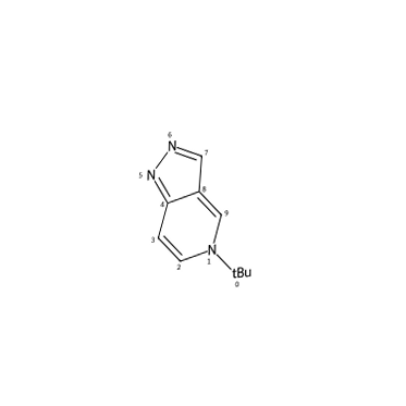 CC(C)(C)n1ccc2nncc-2c1